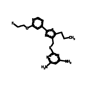 CCCc1sc(-c2ccnc(OCCF)c2)nc1CSc1nc(N)cc(N)n1